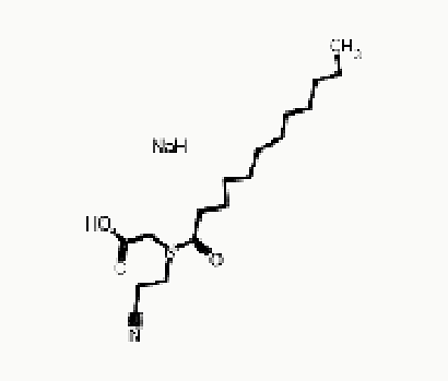 CCCCCCCCCCCC(=O)N(CCC#N)CC(=O)O.[NaH]